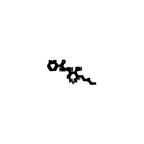 CCSCC[C@@H](N)C(O)C(=O)NNC(=O)c1cccnn1